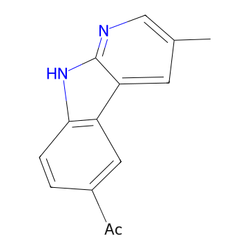 CC(=O)c1ccc2[nH]c3ncc(C)cc3c2c1